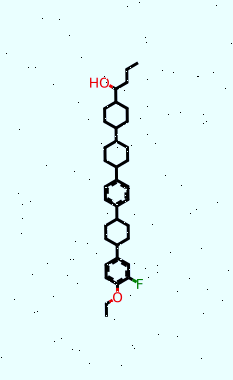 CCCC(O)C1CCC(C2CCC(c3ccc(C4CCC(c5ccc(OCC)c(F)c5)CC4)cc3)CC2)CC1